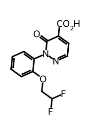 O=C(O)c1ccnn(-c2ccccc2OCC(F)F)c1=O